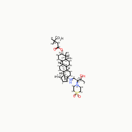 CC(C)[C@@H]1CC[C@]2(NC[C@@H]([C@H](C)O)N3CCS(=O)(=O)CC3)CC[C@]3(C)[C@H](CC[C@@H]4[C@@]5(C)CC[C@H](OC(=O)CC(C)(C)C(=O)O)C(C)(C)[C@@H]5CC[C@]43C)[C@@H]12